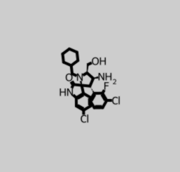 N[C@@H]1[C@H](CO)N(CC2CCCCC2)[C@@]2(C(=O)Nc3cc(Cl)ccc32)[C@H]1c1cccc(Cl)c1F